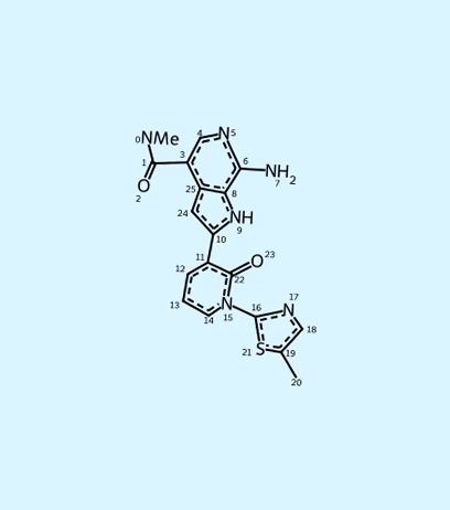 CNC(=O)c1cnc(N)c2[nH]c(-c3cccn(-c4ncc(C)s4)c3=O)cc12